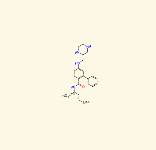 CSCC[C@H](NC(=O)c1ccc(NCC2CNCCN2)cc1-c1ccccc1)C(=O)O